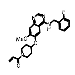 C=CC(=O)N1CCC(Oc2cc3c(NCc4ccccc4F)ncnc3cc2OC)CC1